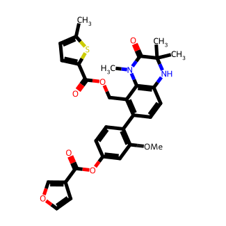 COc1cc(OC(=O)c2ccoc2)ccc1-c1ccc2c(c1COC(=O)c1ccc(C)s1)N(C)C(=O)C(C)(C)N2